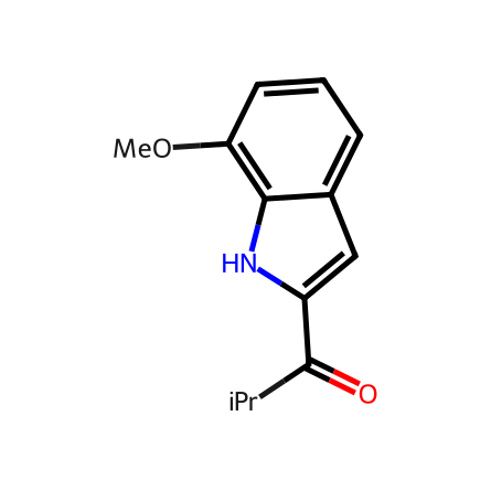 COc1cccc2cc(C(=O)C(C)C)[nH]c12